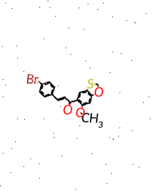 COc1cc2c(cc1C(=O)C=Cc1ccc(Br)cc1)SCO2